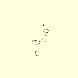 Cc1cnn2c(NCc3cccnc3)cc(C3CCCN(S(=O)(=O)c4cccc(OC(F)(F)F)c4)C3)nc12